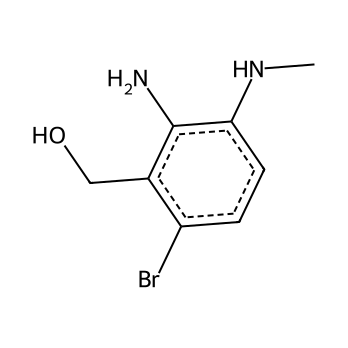 CNc1ccc(Br)c(CO)c1N